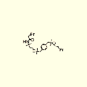 CC(C)CCOC(C)(C)Cc1ccc(CC(C)(C)OCCC(C)(C)NC(=O)CC(C)C)cc1